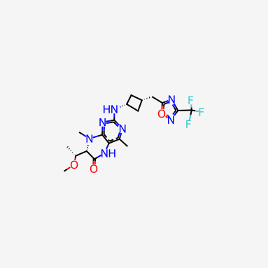 CO[C@H](C)[C@H]1C(=O)Nc2c(C)nc(N[C@H]3C[C@@H](Cc4nc(C(F)(F)F)no4)C3)nc2N1C